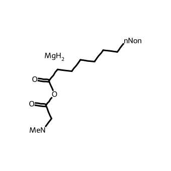 CCCCCCCCCCCCCCCC(=O)OC(=O)CNC.[MgH2]